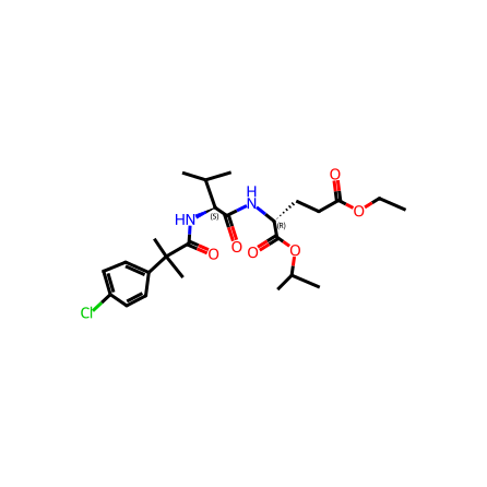 CCOC(=O)CC[C@@H](NC(=O)[C@@H](NC(=O)C(C)(C)c1ccc(Cl)cc1)C(C)C)C(=O)OC(C)C